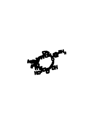 Bc1ccc([C@@H]2C[C@@H]3CCO[C@H](/C=C/C(C)(C)[C@]4(O)O[C@@H](C/C(=C\C)[C@@H]4OC(C)=O)C[C@H](CO)OC(=O)C[C@H](O)CCO2)O3)cc1